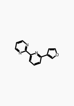 c1cnc(-c2cccc(-c3ccoc3)n2)nc1